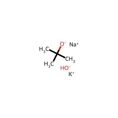 CC(C)(C)[O-].[K+].[Na+].[OH-]